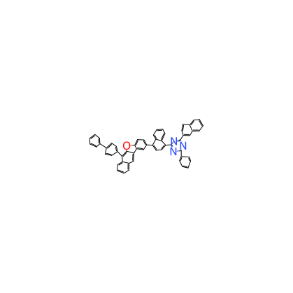 c1ccc(-c2ccc(-c3c4ccccc4cc4c3oc3ccc(-c5ccc(-c6nc(-c7ccccc7)nc(-c7ccc8ccccc8c7)n6)c6ccccc56)cc34)cc2)cc1